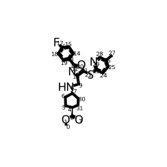 COC(=O)[C@H]1CC[C@@H](NCc2nc(-c3ccc(F)cc3)oc2Sc2ccc(C)cn2)CC1